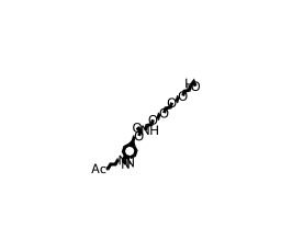 CC(=O)CCCCn1nnc2c1CCC1C(CC2)C1COC(=O)NCCOCCOCCOCCOCC[C@@]1(I)CO1